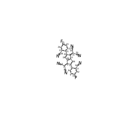 N#CC(C#N)=C1C(c2ccc(F)cc2C#N)=CC2=C1C=C(c1ccc(F)cc1C#N)C2=C(C#N)C#N